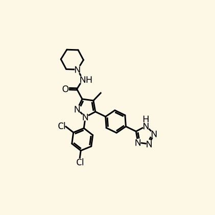 Cc1c(C(=O)NN2CCCCC2)nn(-c2ccc(Cl)cc2Cl)c1-c1ccc(-c2nnn[nH]2)cc1